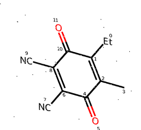 CCC1=C(C)C(=O)C(C#N)=C(C#N)C1=O